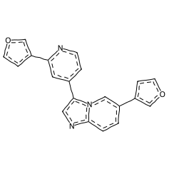 c1cc(-c2cnc3ccc(-c4ccoc4)cn23)cc(-c2ccoc2)n1